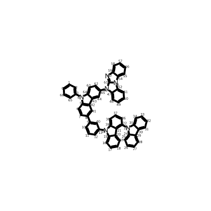 c1ccc(-n2c3ccc(-c4cccc(-n5c6ccccc6c6c(-n7c8ccccc8c8ccccc87)cccc65)c4)cc3c3cc(-n4c5ccccc5n5c6ccccc6nc45)ccc32)cc1